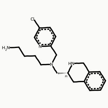 NCCCCN(Cc1ccc(Cl)cn1)C[C@H]1Cc2ccccc2CN1